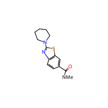 CNC(=O)c1ccc2nc(N3CCCCC3)sc2c1